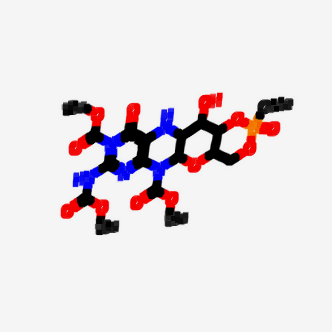 COP1(=O)OCC2OC3C(Nc4c(nc(NC(=O)OC(C)(C)C)n(C(=O)OC(C)(C)C)c4=O)N3C(=O)OC(C)(C)C)C(O)C2O1